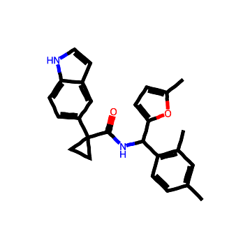 Cc1ccc(C(NC(=O)C2(c3ccc4[nH]ccc4c3)CC2)c2ccc(C)o2)c(C)c1